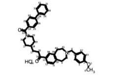 COc1ccc(CN2CCc3ccc(C(=O)CCC4CCN(C(=O)c5ccc(-c6ccccc6)cc5)CC4)cc3CC2)cc1.Cl